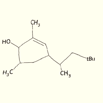 CC1=CC(C(C)CC(C)(C)C)CC(C)C1O